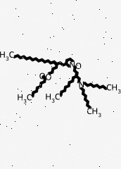 CCCCCCCCCCCCCC/C=C(\CCCCOC(=O)CCCCCCCC)CCC1CCCN(C(=O)C/C=C(\CCCCCCCCC)CCN(CCCCCCCCC)CCCCCCCCC)C1